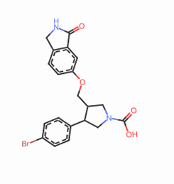 O=C1NCc2ccc(OCC3CN(C(=O)O)CC3c3ccc(Br)cc3)cc21